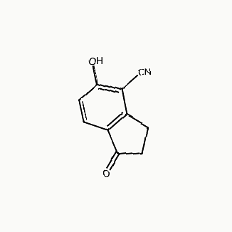 N#Cc1c(O)ccc2c1CCC2=O